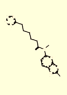 CN(C(=O)CCCCCc1nnn[nH]1)c1ccc2nc(S)sc2n1